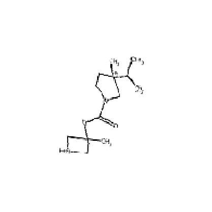 CC(C)[C@@]1(C)CCN(C(=O)OC2(C)CNC2)C1